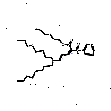 CCCCCCCCN(/C=C/C=C(\C(=O)OCCCCCC)S(=O)(=O)c1ccccc1)CCCCCCCC